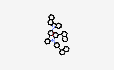 c1cc(-c2cccc3ccccc23)cc(N(c2ccc(-c3cccc4ccccc34)cc2)c2ccccc2-c2ccc(-n3c4ccccc4c4c5ccccc5ccc43)cc2)c1